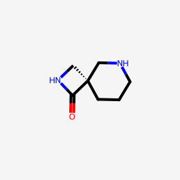 O=C1NC[C@]12CCCNC2